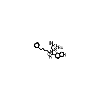 CC(C)(C)OC(CC([NH])=O)n1c(CCCCc2ccccc2)nnc1-c1ccc2cnccc2c1